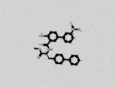 COC(=O)[C@H](Cc1ccc(-c2ccccc2)cc1)NC(=O)c1cc(-c2cccc([N+](=O)[O-])c2)ccc1O